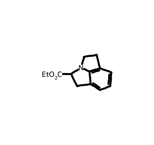 CCOC(=O)C1Cc2cccc3c2N1CC3